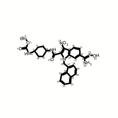 CC(C)(C)OC(=O)NC1CCC(NC(=O)c2c([N+](=O)[O-])c3ccc(C(N)=NO)cc3n2Cc2cccc3ccccc23)CC1